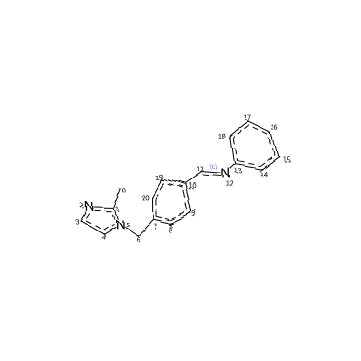 Cc1nccn1Cc1ccc(/C=N/c2ccccc2)cc1